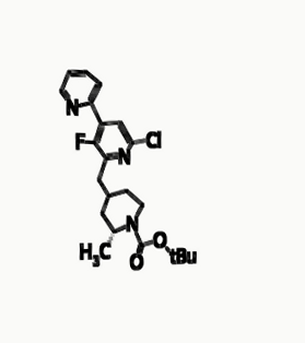 C[C@@H]1CC(Cc2nc(Cl)cc(-c3ccccn3)c2F)CCN1C(=O)OC(C)(C)C